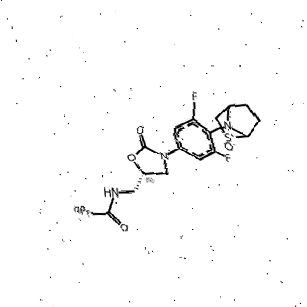 CCCC(=O)NC[C@H]1CN(c2cc(F)c(N3C4CCC3[S+]([O-])C4)c(F)c2)C(=O)O1